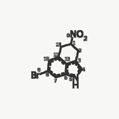 O=[N+]([O-])C1Cc2c[nH]c3cc(Br)cc(c23)C1